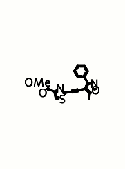 COC(=O)c1csc(C#Cc2c(-c3ccccc3)noc2C)n1